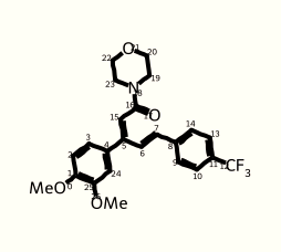 COc1ccc(C(C=Cc2ccc(C(F)(F)F)cc2)=CC(=O)N2CCOCC2)cc1OC